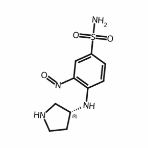 NS(=O)(=O)c1ccc(N[C@@H]2CCNC2)c(N=O)c1